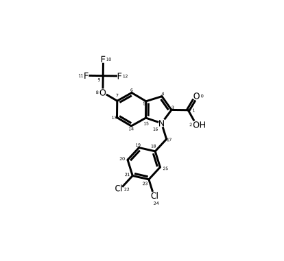 O=C(O)c1cc2cc(OC(F)(F)F)ccc2n1Cc1ccc(Cl)c(Cl)c1